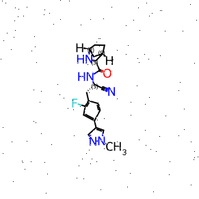 Cn1cc(-c2ccc(C[C@@H](C#N)NC(=O)[C@H]3N[C@@H]4CC[C@H]3C4)c(F)c2)cn1